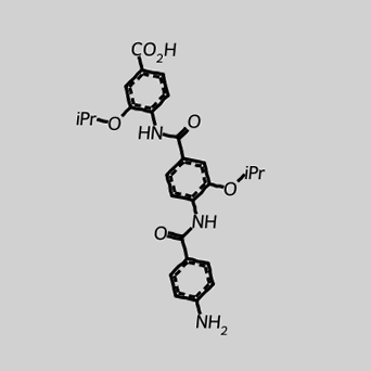 CC(C)Oc1cc(C(=O)O)ccc1NC(=O)c1ccc(NC(=O)c2ccc(N)cc2)c(OC(C)C)c1